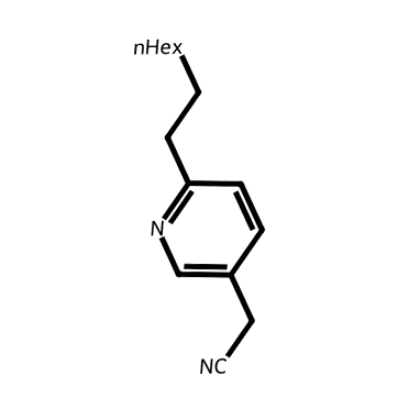 CCCCCCCCc1ccc(CC#N)cn1